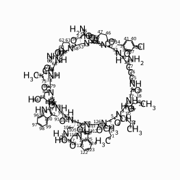 CCCC[C@H]1C(=O)N(C)[C@@H](CCCC)C(=O)N[C@@H](CC(C)C)C(=O)NCCC[C@@H](N)C(=O)N[C@@H](Cc2ccc(Cl)cc2)C(=O)N2CCCC[C@H]2C(=O)N[C@@H](CC(N)=O)C(=O)N2CCC[C@H]2C(=O)N[C@@H](CN)C(=O)N[C@@H](CC(C)C)C(=O)N2C[C@H](O)C[C@H]2C(=O)N[C@@H](Cc2c[nH]c3ccccc23)C(=O)N[C@@H](CCN)C(=O)N[C@@H](Cc2cn(CC(=O)O)c3ccccc23)C(=O)N1C